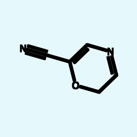 N#CC1=CN=CCO1